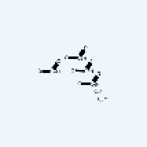 [Ca+2].[Cu+2].[O]=[GeH][O-].[O]=[GeH][O-].[O]=[GeH][O-].[O]=[GeH][O-]